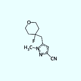 Cn1nc(C#N)cc1CC1(F)CCOCC1